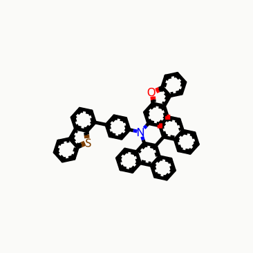 c1ccc2c(-c3c(N(c4ccc(-c5cccc6c5sc5ccccc56)cc4)c4ccc5c(c4)oc4ccccc45)c4ccccc4c4ccccc34)cccc2c1